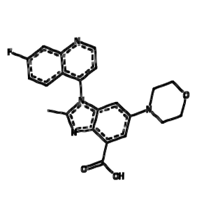 Cc1nc2c(C(=O)O)cc(N3CCOCC3)cc2n1-c1ccnc2cc(F)ccc12